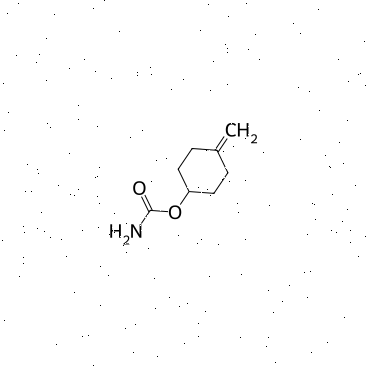 C=C1CCC(OC(N)=O)CC1